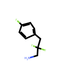 NCC(F)(F)Cc1ccc(F)cc1